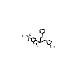 Cc1cc(S(N)(=O)=O)ccc1N[C@H](CCN1CCC(O)C1)CSc1ccccc1